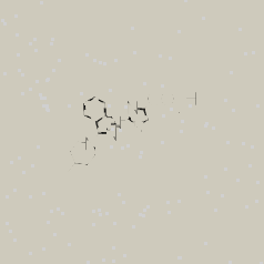 CC1CCN(c2nn(-c3nc(C(=O)O)cs3)c3ccccc23)CC1